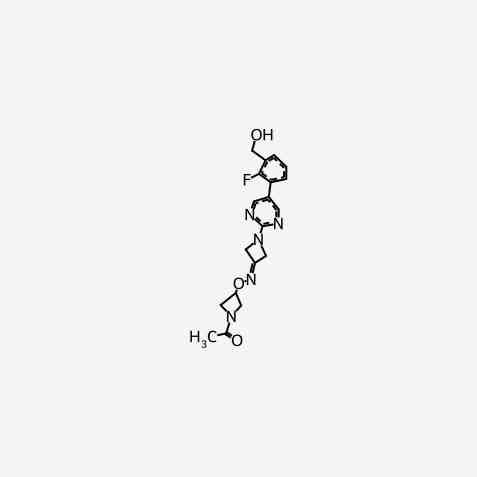 CC(=O)N1CC(ON=C2CN(c3ncc(-c4cccc(CO)c4F)cn3)C2)C1